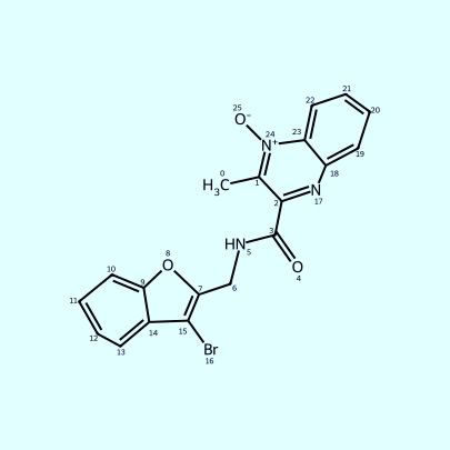 Cc1c(C(=O)NCc2oc3ccccc3c2Br)nc2ccccc2[n+]1[O-]